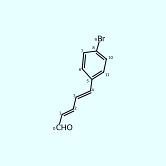 O=CC=CC=Cc1ccc(Br)cc1